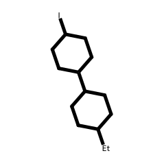 CCC1CCC(C2CCC(I)CC2)CC1